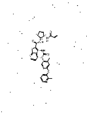 C=CC(=O)N[C@H]1CCC[C@H]1NC(=O)c1sc2nccc3c2c1NC(=O)N3c1cnc(Oc2cccnc2C)cc1C